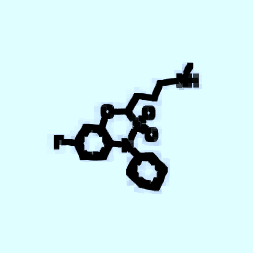 CNCCCC1Oc2cc(F)ccc2N(c2ccccc2)S1(=O)=O